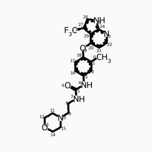 Cc1cc(NC(=O)NCCN2CCOCC2)ccc1Oc1ccnc2[nH]cc(C(F)(F)F)c12